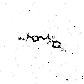 CC(C)(C)OC(=O)c1ccc(CCNS(=O)(=O)c2ccc(C(F)(F)F)cc2)s1